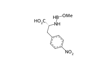 COBN[C@H](Cc1ccc([N+](=O)[O-])cc1)C(=O)O